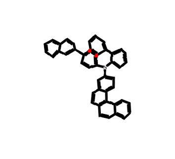 c1ccc(-c2ccccc2N(c2ccc(-c3ccc4ccccc4c3)cc2)c2ccc3c(ccc4ccc5ccccc5c43)c2)cc1